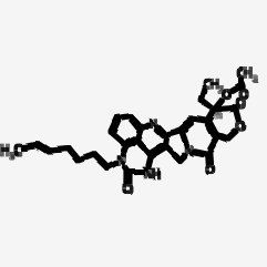 CCCCCCCN1C(=O)Nc2c3c(nc4cccc1c24)-c1cc2c(c(=O)n1C3)COC(=O)[C@@]2(CC)OC(C)=O